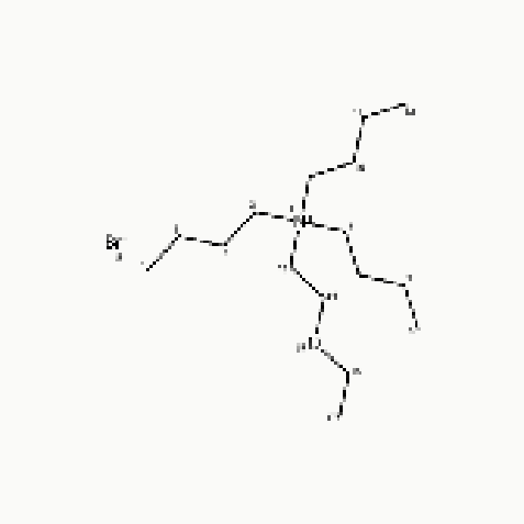 CCCC[N+](CCCC)(CCCC)CCOCC.[Br-]